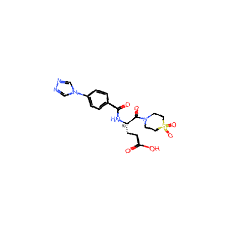 O=C(O)CC[C@H](NC(=O)c1ccc(-n2cnnc2)cc1)C(=O)N1CCS(=O)(=O)CC1